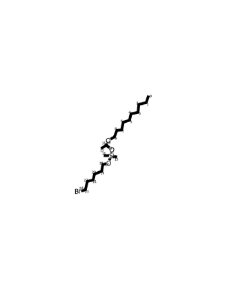 CCCCCCCCCCOC(C)O[Si](C)(C)OCCCCCCBr